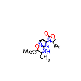 COC(=O)C(C)Nc1nccc(N2C(=O)OC[C@@H]2C(C)C)n1